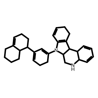 C1=CC2NCC3C(C4=C(C=CCC4)N3C3=CC(C4CCC=C5CCCCC54)=CCC3)C2C=C1